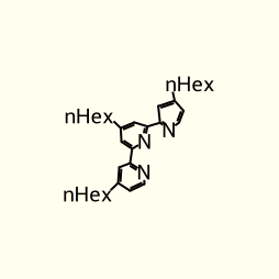 CCCCCCc1ccnc(-c2cc(CCCCCC)cc(-c3cc(CCCCCC)ccn3)n2)c1